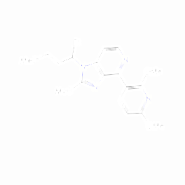 CCC(CCOC)n1c(OC)nc2c(-c3ccc(OC)nc3OC)nccc21